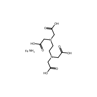 N.O=C(O)CN(CCN(CC(=O)O)CC(=O)O)CC(=O)O.[Fe]